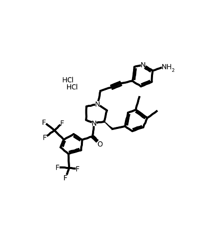 Cc1ccc(C[C@@H]2CN(CC#Cc3ccc(N)nc3)CCN2C(=O)c2cc(C(F)(F)F)cc(C(F)(F)F)c2)cc1C.Cl.Cl